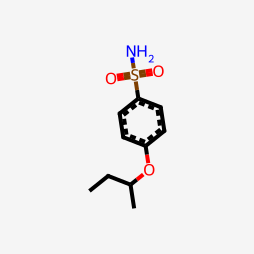 CCC(C)Oc1ccc(S(N)(=O)=O)cc1